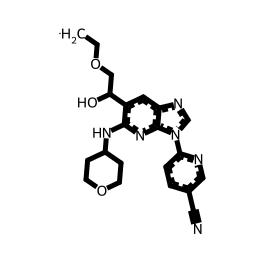 [CH2]COCC(O)c1cc2ncn(-c3ccc(C#N)cn3)c2nc1NC1CCOCC1